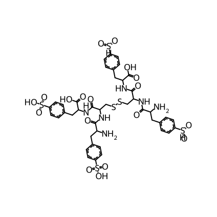 NC(Cc1ccc([SH](=O)=O)cc1)C(=O)NC(CSSCC(NC(=O)C(N)Cc1ccc(S(=O)(=O)O)cc1)C(=O)NC(Cc1ccc(S(=O)(=O)O)cc1)C(=O)O)C(=O)NC(Cc1ccc([SH](=O)=O)cc1)C(=O)O